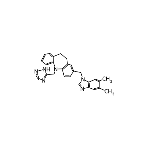 Cc1cc2ncn(Cc3ccc4c(c3)CCc3ccccc3N4Cc3nnn[nH]3)c2cc1C